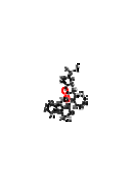 CCC(C)c1ccc(OC(CC2CCCCCC2)OCC2c3ccccc3-c3ccccc32)cc1